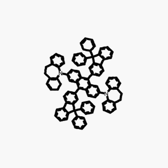 C1=CCC(C2(c3ccccc3)c3ccccc3-c3ccc(-c4c5ccc(N6C7=C(C=CCC7)CCc7ccccc76)cc5c(-c5ccc6c(c5)C(c5ccccc5)(c5ccccc5)c5ccccc5-6)c5ccc(N6c7ccccc7CCc7ccccc76)cc45)cc32)C=C1